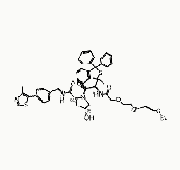 CCOCCOCCOCC(=O)NC(C(=O)N1C[C@H](O)C[C@H]1C(=O)NCc1ccc(-c2scnc2C)cc1)C(C)(C)SC(c1ccccc1)(c1ccccc1)c1ccccc1